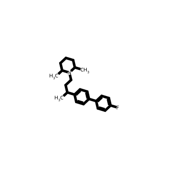 CC(CCN1C(C)CCCC1C)c1ccc(-c2ccc(F)cc2)cc1